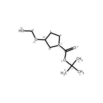 CC(C)(C)OC(=O)N1CCC(OCO)C1